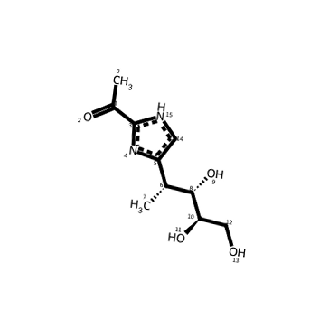 CC(=O)c1nc([C@@H](C)[C@H](O)[C@H](O)CO)c[nH]1